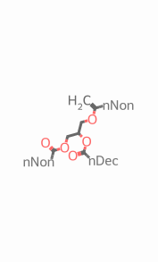 C=C(CCCCCCCCC)OCC(COC(=O)CCCCCCCCC)OC(=O)CCCCCCCCCC